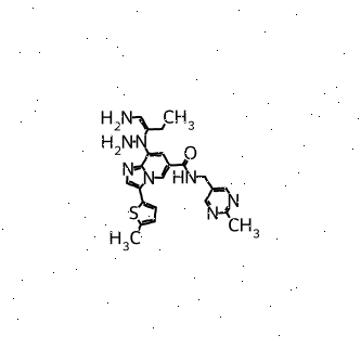 CC/C(=C/N)N(N)c1cc(C(=O)NCc2cnc(C)nc2)cn2c(-c3ccc(C)s3)cnc12